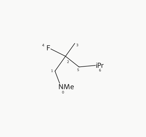 CNCC(C)(F)CC(C)C